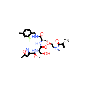 C=C(C#N)C(=O)N(C)CCOC[C@H](NC(=O)[C@@H](NC(=O)c1cc(C)on1)[C@@H](C)O)C(=O)NCc1ccc(C)cc1F